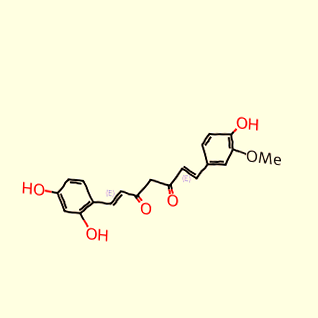 COc1cc(/C=C/C(=O)CC(=O)/C=C/c2ccc(O)cc2O)ccc1O